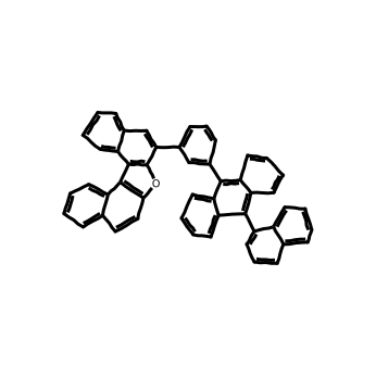 c1cc(-c2c3ccccc3c(-c3cccc4ccccc34)c3ccccc23)cc(-c2cc3ccccc3c3c2oc2ccc4ccccc4c23)c1